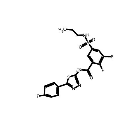 CCCNS(=O)(=O)c1cc(F)c(F)c(C(=O)Nc2nnc(-c3ccc(F)cc3)s2)c1